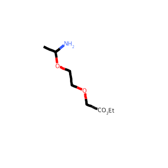 CCOC(=O)COCCOC(C)N